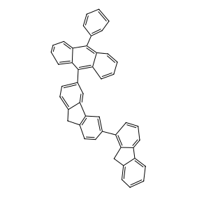 c1ccc(-c2c3ccccc3c(-c3ccc4c(c3)-c3cc(-c5cccc6c5Cc5ccccc5-6)ccc3C4)c3ccccc23)cc1